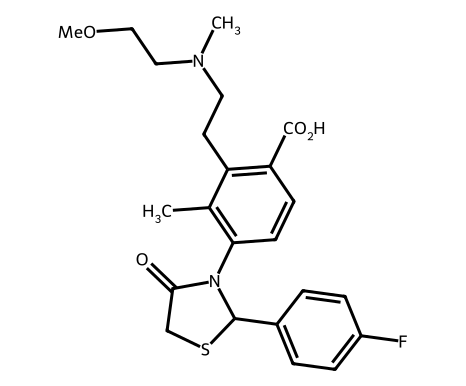 COCCN(C)CCc1c(C(=O)O)ccc(N2C(=O)CSC2c2ccc(F)cc2)c1C